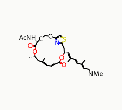 CNC/C=C(C)/C=C/C(C)=C/[C@@H]1Cc2nc(cs2)CCC[C@@H](NC(C)=O)C(=O)O[C@@H](C)C/C(C)=C/C=C\C(=O)O1